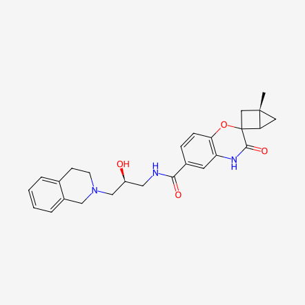 C[C@@]12CC1C1(C2)Oc2ccc(C(=O)NC[C@H](O)CN3CCc4ccccc4C3)cc2NC1=O